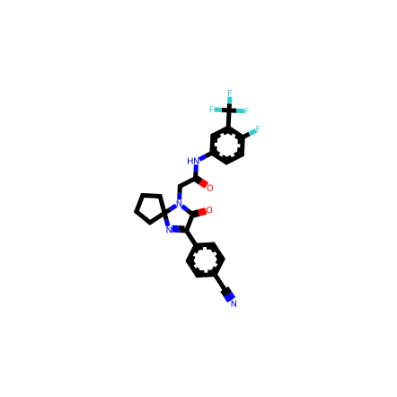 N#Cc1ccc(C2=NC3(CCCC3)N(CC(=O)Nc3ccc(F)c(C(F)(F)F)c3)C2=O)cc1